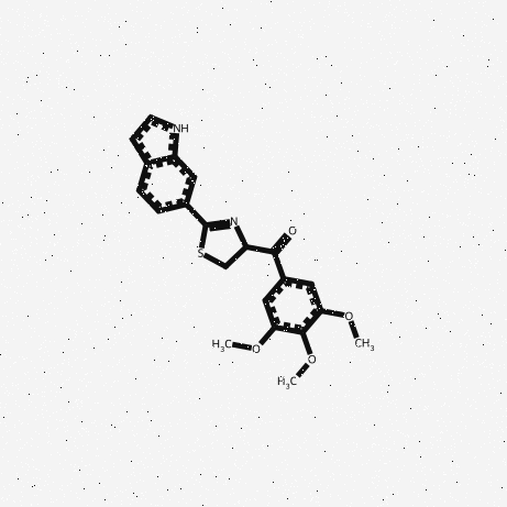 COc1cc(C(=O)C2CSC(c3ccc4cc[nH]c4c3)=N2)cc(OC)c1OC